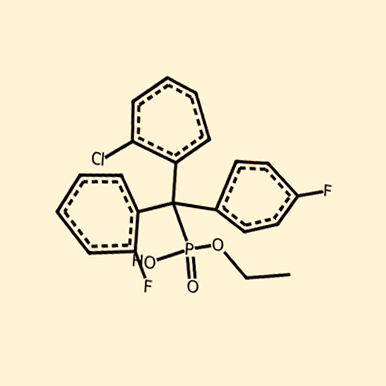 CCOP(=O)(O)C(c1ccc(F)cc1)(c1ccccc1F)c1ccccc1Cl